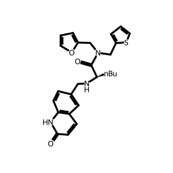 CCCC[C@@H](NCc1ccc2[nH]c(=O)ccc2c1)C(=O)N(Cc1ccco1)Cc1cccs1